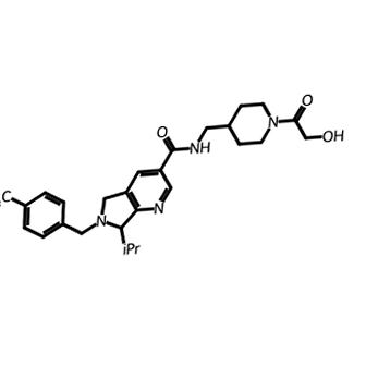 CC(C)C1c2ncc(C(=O)NCC3CCN(C(=O)CO)CC3)cc2CN1Cc1ccc(C(F)(F)F)cc1